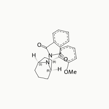 COc1ccccc1[C@H]1C[C@@H]2CCC[C@H]1N2N1C(=O)c2ccccc2C1=O